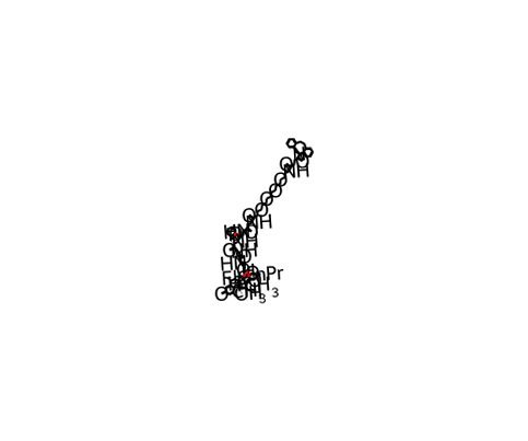 CCCC1O[C@@H]2C[C@H]3[C@@H]4C[C@H](F)C5=CC(=O)C=C[C@]5(C)[C@@]4(F)[C@@H](O)C[C@]3(C)[C@]2(C(=O)COCNC(=O)CNC(=O)[C@H](Cc2ccccc2)NC(=O)CNC(=O)CNC(=O)CCOCCOCCOCCOCCNC(=O)CCC(=O)N2Cc3ccccc3CCc3ccccc32)O1